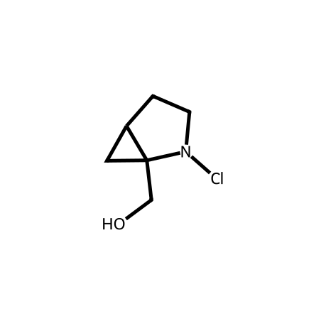 OCC12CC1CCN2Cl